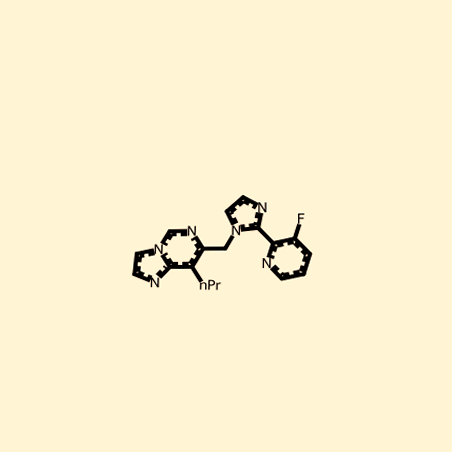 CCCc1c(Cn2ccnc2-c2ncccc2F)ncn2ccnc12